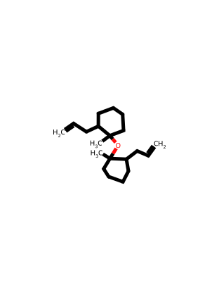 C=CCC1CCCCC1(C)OC1(C)CCCCC1CC=C